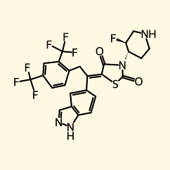 O=C1S/C(=C(/Cc2ccc(C(F)(F)F)cc2C(F)(F)F)c2ccc3[nH]ncc3c2)C(=O)N1[C@H]1CCNC[C@@H]1F